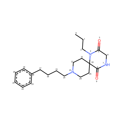 CCCN1C(=O)CNC(=O)C12CCN(CCCCc1ccccc1)CC2